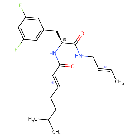 C/C=C/CNC(=O)[C@H](Cc1cc(F)cc(F)c1)NC(=O)/C=C/CCC(C)C